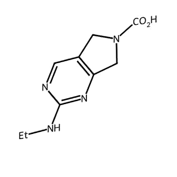 CCNc1ncc2c(n1)CN(C(=O)O)C2